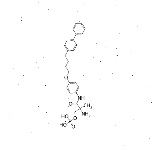 CC(N)(COP(=O)(O)O)C(=O)Nc1ccc(OCCCCc2ccc(-c3ccccc3)cc2)cc1